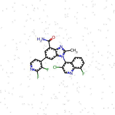 Cc1nc2c(C(N)=O)cc(-c3ccnc(F)c3F)cc2n1-c1c(Cl)cnc2c(F)cccc12